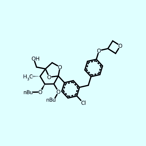 CCCCOC1[C@@H](OCCCC)[C@H](C)C2(CO)COC1(c1ccc(Cl)c(Cc3ccc(OC4COC4)cc3)c1)O2